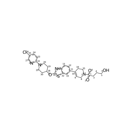 O=S(=O)(CCCO)N1CC=C(c2ccc3nc(OC4CCN(c5ccc(Cl)cn5)CC4)sc3c2)CC1